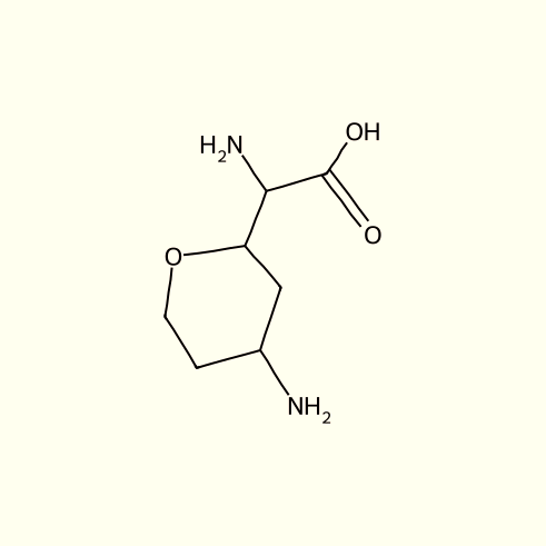 NC1CCOC(C(N)C(=O)O)C1